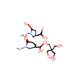 CN1CC(C(=O)O)CC1=O.CN1CC(C(=O)O)CC1=O.OCC(CO)(CO)CO